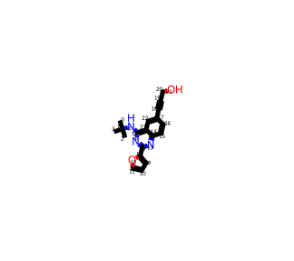 CC(C)(C)Nc1nc(-c2ccco2)nc2ccc(C#CCO)cc12